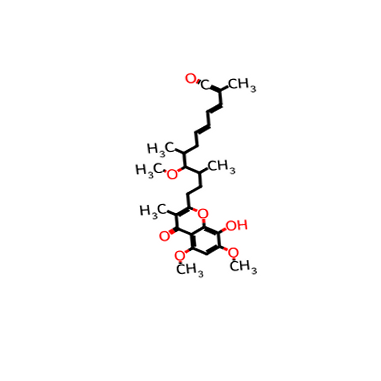 COc1cc(OC)c2c(=O)c(C)c(CCC(C)C(OC)C(C)CC=CC=CC(C)=C=O)oc2c1O